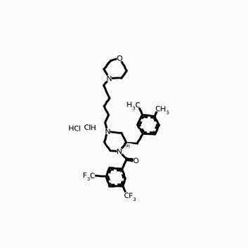 Cc1ccc(C[C@@H]2CN(CCCCCN3CCOCC3)CCN2C(=O)c2cc(C(F)(F)F)cc(C(F)(F)F)c2)cc1C.Cl.Cl